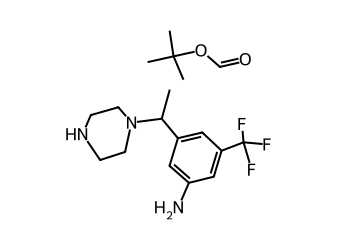 CC(C)(C)OC=O.CC(c1cc(N)cc(C(F)(F)F)c1)N1CCNCC1